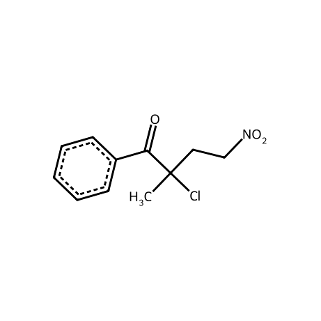 CC(Cl)(CC[N+](=O)[O-])C(=O)c1ccccc1